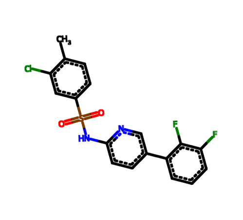 Cc1ccc(S(=O)(=O)Nc2ccc(-c3cccc(F)c3F)cn2)cc1Cl